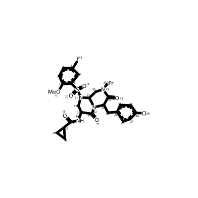 COc1ccc(F)cc1S(=O)(=O)N1CC(NC(=O)C2CC2)C(=O)N2C(Cc3ccc(Cl)cc3)C(=O)N(C(C)C)CC21